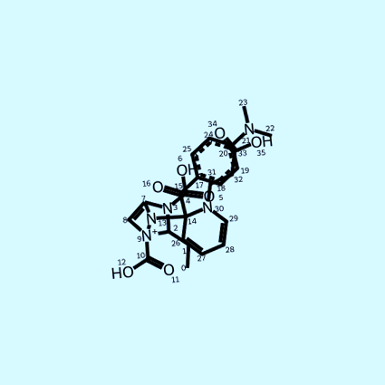 CCC1N(C(=O)O)C2=C[N+]1(C(=O)O)N2C1(C(=O)c2ccc(N(C)C)cc2)C=CC=CN1CCC(=O)O